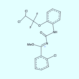 CO/C(=N\C(=O)Nc1ccccc1OC(F)(F)C(Cl)Cl)c1ccccc1Cl